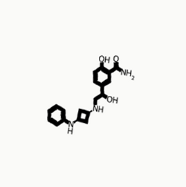 NC(=O)c1cc(C(O)CN[C@H]2C[C@H](Nc3ccccc3)C2)ccc1O